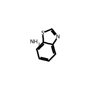 N.c1ccc2scnc2c1